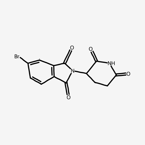 O=C1CCC(N2C(=O)c3[c]c(Br)ccc3C2=O)C(=O)N1